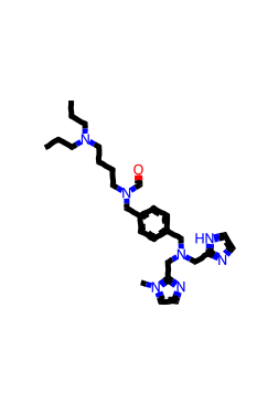 CCCN(CCC)CCCCN(C=O)Cc1ccc(CN(Cc2ncc[nH]2)Cc2nccn2C)cc1